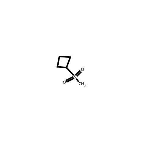 CS(=O)(=O)[C]1CCC1